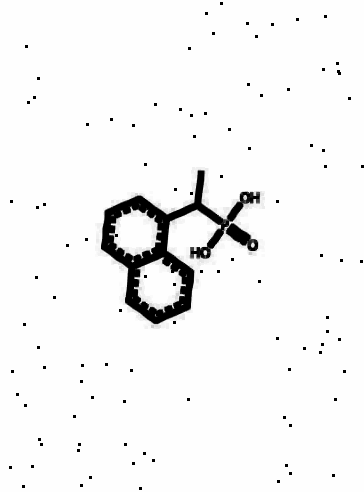 CC(c1cccc2ccccc12)P(=O)(O)O